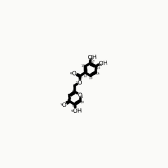 O=C(OCc1cc(=O)c(O)co1)c1ccc(O)c(O)c1